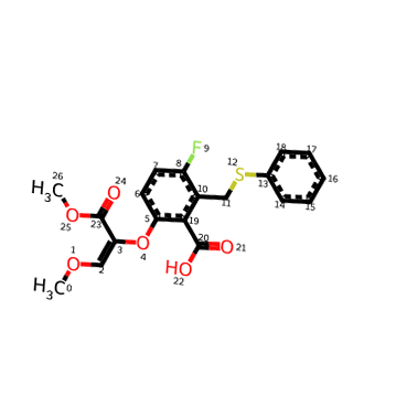 COC=C(Oc1ccc(F)c(CSc2ccccc2)c1C(=O)O)C(=O)OC